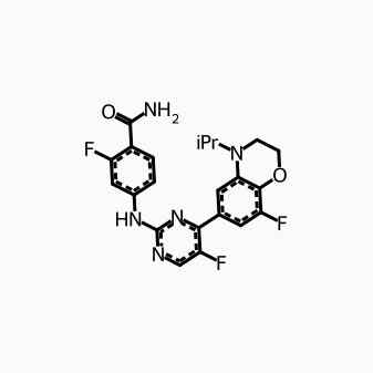 CC(C)N1CCOc2c(F)cc(-c3nc(Nc4ccc(C(N)=O)c(F)c4)ncc3F)cc21